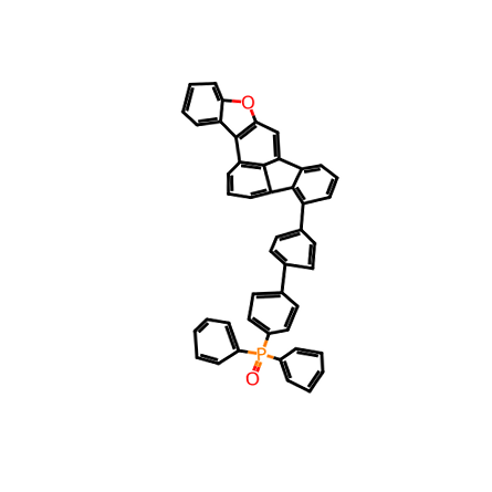 O=P(c1ccccc1)(c1ccccc1)c1ccc(-c2ccc(-c3cccc4c3-c3cccc5c3c-4cc3oc4ccccc4c35)cc2)cc1